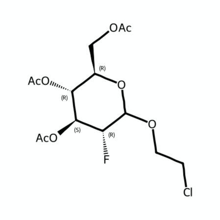 CC(=O)OC[C@H]1OC(OCCCl)[C@H](F)[C@@H](OC(C)=O)[C@@H]1OC(C)=O